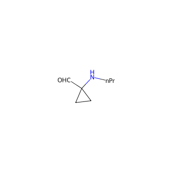 CCCNC1(C=O)CC1